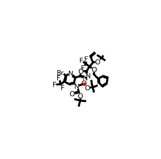 C=CC(OC(C)(C)C)C(OCc1ccccc1)(c1nnc(-c2nc(Br)c(C(F)(F)F)cc2N(C(=O)OC(C)(C)C)C(=O)OC(C)(C)C)o1)C(F)(F)F